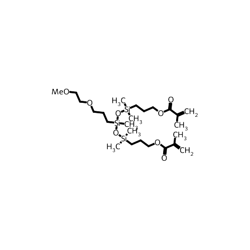 C=C(C)C(=O)OCCC[Si](C)(C)O[Si](C)(CCCOCCOC)O[Si](C)(C)CCCOC(=O)C(=C)C